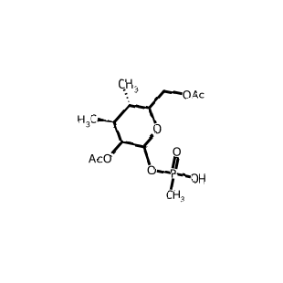 CC(=O)OCC1OC(OP(C)(=O)O)C(OC(C)=O)[C@@H](C)[C@@H]1C